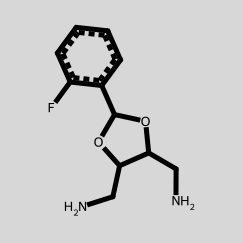 NCC1OC(c2ccccc2F)OC1CN